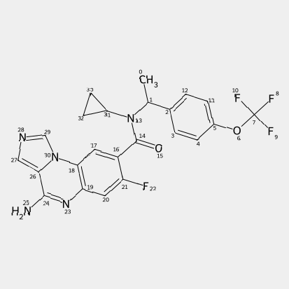 CC(c1ccc(OC(F)(F)F)cc1)N(C(=O)c1cc2c(cc1F)nc(N)c1cncn12)C1CC1